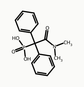 CN(C)C(=O)C(c1ccccc1)(c1ccccc1)P(=O)(O)O